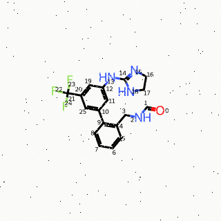 O=CNCc1[c]cccc1-c1cc(NC2=NCCN2)cc(C(F)(F)F)c1